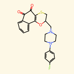 O=C1C(=O)c2ccccc2C2=C1SCC(CN1CCN(c3ccc(F)cc3)CC1)O2